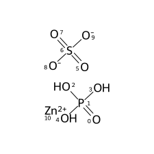 O=P(O)(O)O.O=S(=O)([O-])[O-].[Zn+2]